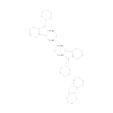 c1ccc(-n2c3ccccc3c3cc(-c4ccc5c(c4)c4ccccc4n5-c4cccc(-c5cccc6c5oc5ccccc56)c4)ccc32)cc1